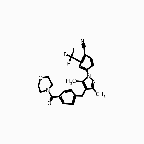 Cc1nn(-c2ccc(C#N)c(C(F)(F)F)c2)c(C)c1Cc1ccc(C(=O)N2CCOCC2)cc1